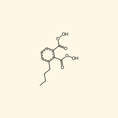 CCCCc1cccc(C(=O)OO)c1C(=O)OO